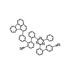 N#Cc1ccc(-c2ccccc2-c2nc(-c3ccccc3)nc(-c3ccccc3-c3cccc(C#N)c3-c3cccc(-c4ccc5cccc6c5c4-c4ccccc4-6)c3)n2)cc1